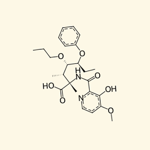 CCCO[C@H]([C@H](CC)Oc1ccccc1)[C@@H](C)[C@](C)(NC(=O)c1nccc(OC)c1O)C(=O)O